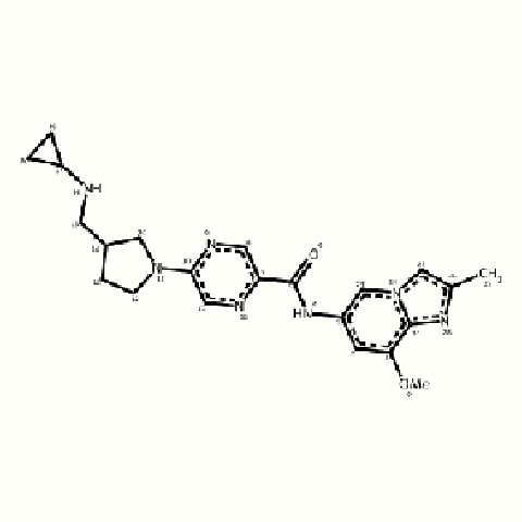 COc1cc(NC(=O)c2cnc(N3CCC(CNC4CC4)C3)cn2)cn2cc(C)nc12